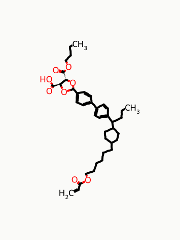 C=CC(=O)OCCCCCCC1CCC(C(CCC)c2ccc(-c3ccc(C4O[C@@H](C(=O)O)[C@H](C(=O)OCCCC)O4)cc3)cc2)CC1